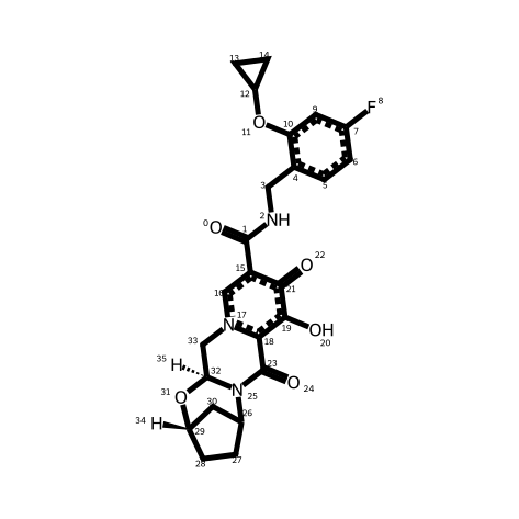 O=C(NCc1ccc(F)cc1OC1CC1)c1cn2c(c(O)c1=O)C(=O)N1C3CC[C@@H](C3)O[C@H]1C2